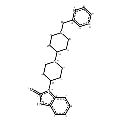 O=c1[nH]c2ccccc2n1C1CCN(C2CCN(Cc3cnccn3)CC2)CC1